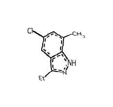 CCc1n[nH]c2c(C)cc(Cl)cc12